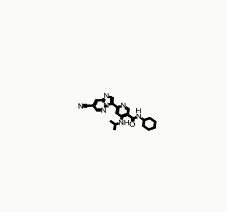 CC(C)Nc1cc(-c2cnc3cc(C#N)cnn23)ncc1C(=O)NC1CCCCC1